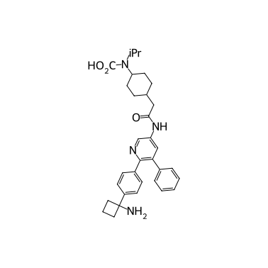 CC(C)N(C(=O)O)C1CCC(CC(=O)Nc2cnc(-c3ccc(C4(N)CCC4)cc3)c(-c3ccccc3)c2)CC1